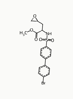 COC(=O)C(CC1CO1)NS(=O)(=O)c1ccc(-c2ccc(Br)cc2)cc1